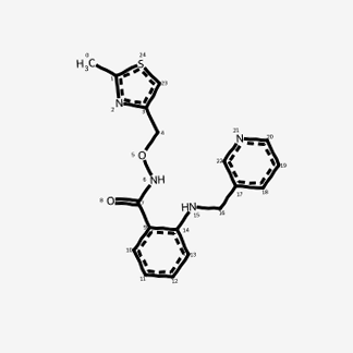 Cc1nc(CONC(=O)c2ccccc2NCc2cccnc2)cs1